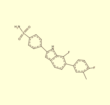 Cc1cc(-c2ccc3cc(-c4ccc(S(N)(=O)=O)cc4)[nH]c3c2F)ccc1F